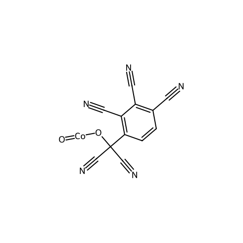 N#Cc1ccc(C(C#N)(C#N)[O][Co]=[O])c(C#N)c1C#N